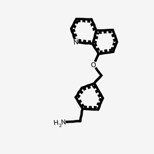 NCc1ccc(COc2cccc3cccnc23)cc1